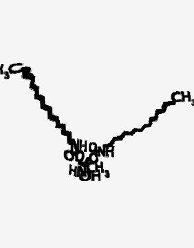 CCCCCCCCCCCCCCCCCNC(=O)OCC(C)(COC(=O)NCCCCCCCCCCCCCCCCC)NO